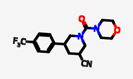 N#CC1CC(c2ccc(C(F)(F)F)cc2)CN(C(=O)N2CCOCC2)C1